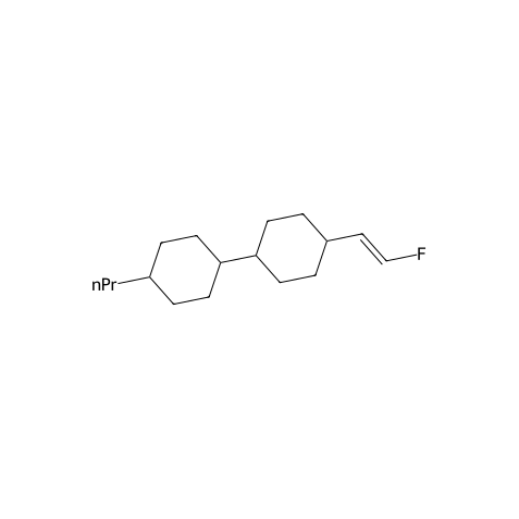 CCCC1CCC(C2CCC(/C=C/F)CC2)CC1